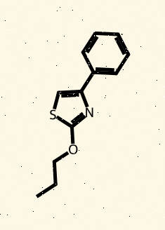 CCCOc1nc(-c2cc[c]cc2)cs1